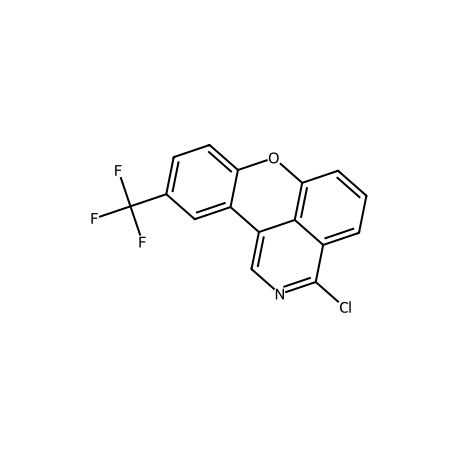 FC(F)(F)c1ccc2c(c1)-c1cnc(Cl)c3cccc(c13)O2